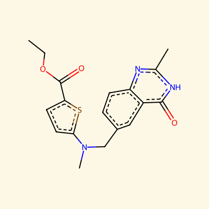 CCOC(=O)c1ccc(N(C)Cc2ccc3nc(C)[nH]c(=O)c3c2)s1